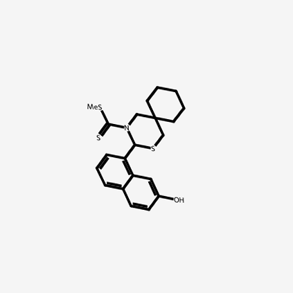 CSC(=S)N1CC2(CCCCC2)CSC1c1cccc2ccc(O)cc12